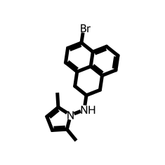 Cc1ccc(C)n1NC1Cc2cccc3c(Br)ccc(c23)C1